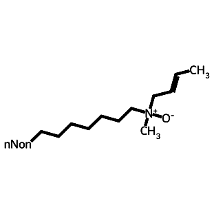 CC=CC[N+](C)([O-])CCCCCCCCCCCCCCCC